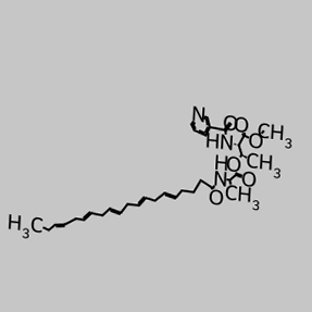 CCC=CCC=CCC=CCC=CCC=CCCCC(=O)NC(C)C(=O)O[C@H](C)[C@H](NC(=O)c1cccnc1)C(=O)OC